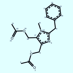 CC(=O)OCc1nc(Cc2ccccc2)n(C)c1COC(C)=O